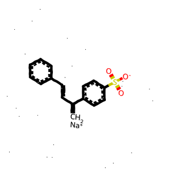 C=C(C=Cc1ccccc1)c1ccc(S(=O)(=O)[O-])cc1.[Na+]